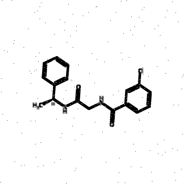 C[C@H](NC(=O)CNC(=O)c1cccc(Cl)c1)c1ccccc1